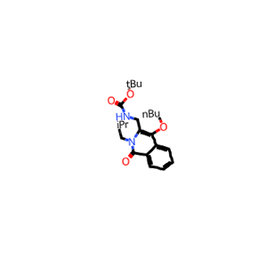 CCCCOc1c(CNC(=O)OC(C)(C)C)n(CC(C)C)c(=O)c2ccccc12